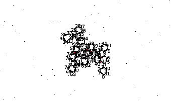 c1ccc(-c2ccc(-c3ccccc3N(c3ccc(-c4ccc5c(c4)c4ccccc4n5-c4ccccc4)cc3)c3ccccc3-c3ccc4c(c3)C3(c5ccccc5-4)c4ccccc4-n4c5ccccc5c5cccc3c54)cc2)cc1